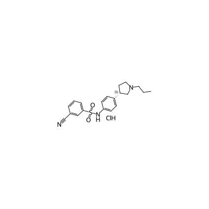 CCCN1CC[C@@H](c2ccc(NS(=O)(=O)c3cccc(C#N)c3)cc2)C1.Cl